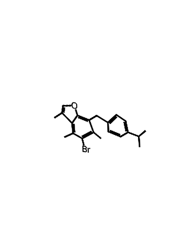 Cc1c(Br)c(C)c2c(C)coc2c1Cc1ccc(C(C)C)cc1